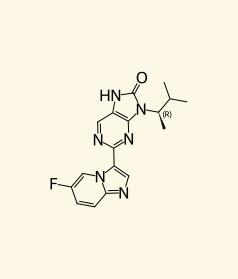 CC(C)[C@@H](C)n1c(=O)[nH]c2cnc(-c3cnc4ccc(F)cn34)nc21